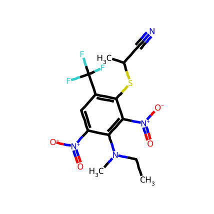 CCN(C)c1c([N+](=O)[O-])cc(C(F)(F)F)c(SC(C)C#N)c1[N+](=O)[O-]